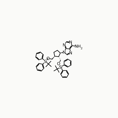 CC(C)(C)[Si](OC[C@H]1CC[C@@H](n2cnc3c(N)ncnc32)[C@@H]1CO[Si](c1ccccc1)(c1ccccc1)C(C)(C)C)(c1ccccc1)c1ccccc1